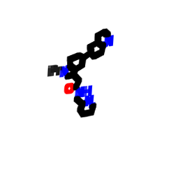 CC(C)n1cc(CC(=O)NCc2ccccn2)c2cc(-c3ccc4ncccc4c3)ccc21